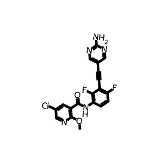 COc1ncc(Cl)cc1C(=O)Nc1ccc(F)c(C#Cc2cnc(N)nc2)c1F